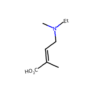 CCN(C)CC=C(C)C(=O)O